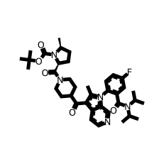 Cc1c(C(=O)C2CCN(C(=O)[C@@H]3CC[C@H](C)N3C(=O)OC(C)(C)C)CC2)c2ccncc2n1-c1ccc(F)cc1C(=O)N(C(C)C)C(C)C